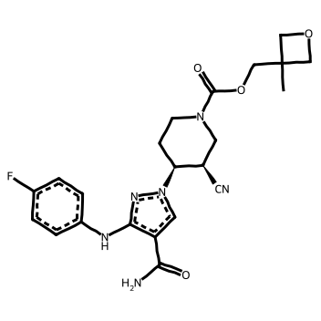 CC1(COC(=O)N2CC[C@H](n3cc(C(N)=O)c(Nc4ccc(F)cc4)n3)[C@H](C#N)C2)COC1